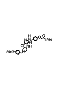 CNC(=O)COc1ccc(-c2nc3c(NC4CCN(Cc5ccc(SC)cc5)CC4)c(Cl)cnc3[nH]2)cc1